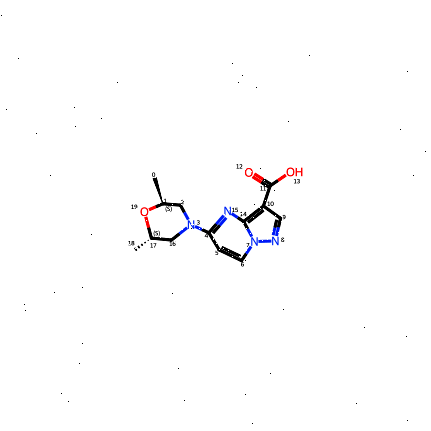 C[C@H]1CN(c2ccn3ncc(C(=O)O)c3n2)C[C@H](C)O1